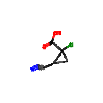 N#CC1CC1(Cl)C(=O)O